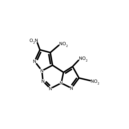 O=[N+]([O-])c1nn2nnn3nc([N+](=O)[O-])c([N+](=O)[O-])c3c2c1[N+](=O)[O-]